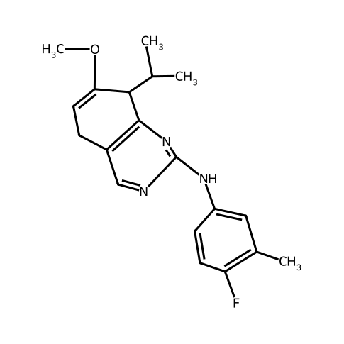 COC1=CCc2cnc(Nc3ccc(F)c(C)c3)nc2C1C(C)C